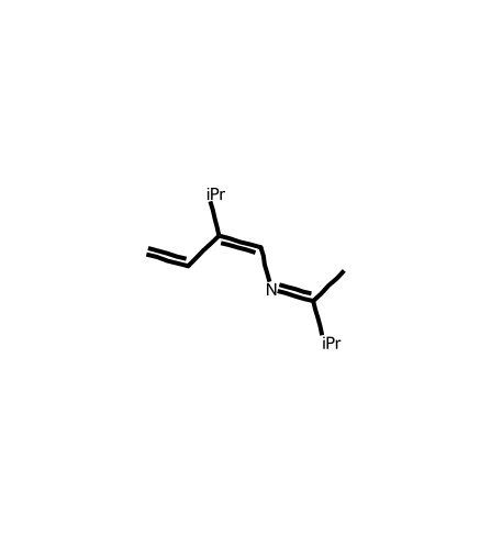 C=C/C(=C\N=C(/C)C(C)C)C(C)C